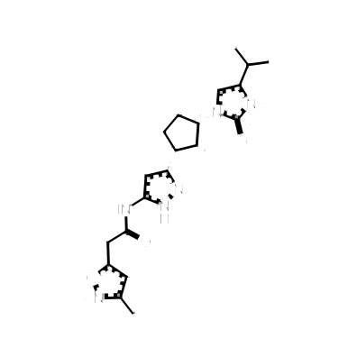 Cc1cc(CC(=O)Nc2cc([C@@H]3CC[C@H](n4cc(C(C)C)[nH]c4=O)C3)n[nH]2)on1